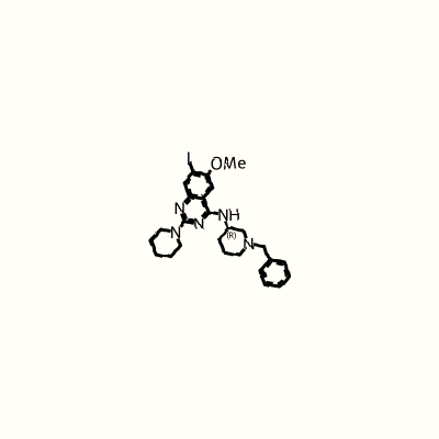 COc1cc2c(N[C@@H]3CCCN(Cc4ccccc4)C3)nc(N3CCCCC3)nc2cc1I